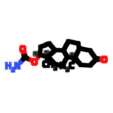 C[C@]12CCC(=O)CC1CCC1C2CC[C@@]2(C)C1CC[C@@H]2OC(N)=O